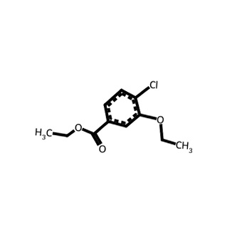 CCOC(=O)c1ccc(Cl)c(OCC)c1